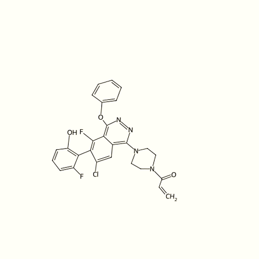 C=CC(=O)N1CCN(c2nnc(Oc3ccccc3)c3c(F)c(-c4c(O)cccc4F)c(Cl)cc23)CC1